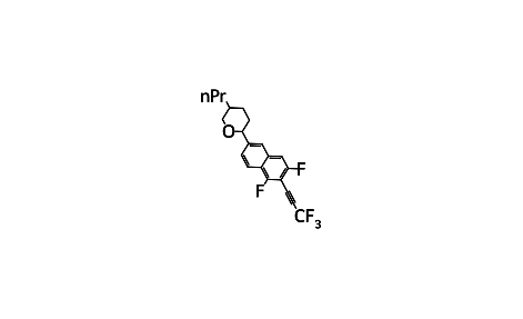 CCCC1CCC(c2ccc3c(F)c(C#CC(F)(F)F)c(F)cc3c2)OC1